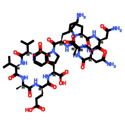 CC(C)C[C@H](NC(=O)[C@H](CC(N)=O)NC(=O)[C@H](CC(N)=O)NC(=O)[C@@H]1CCCN1C(=O)[C@H](C)N)C(=O)N[C@@H](CCCCN)C(=O)N1CCC[C@H]1C(=O)N[C@H](C(=O)N[C@H](C(=O)N[C@@H](C)C(=O)N[C@@H](CCC(=O)O)C(=O)N[C@@H](Cc1ccccc1)C(=O)O)C(C)C)C(C)C